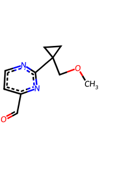 COCC1(c2nccc(C=O)n2)CC1